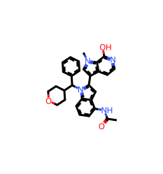 CC(=O)Nc1cccc2c1cc(-c1cn(C)c3c(O)nccc13)n2C(c1ccccc1)C1CCOCC1